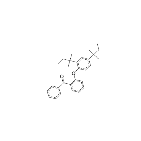 CCC(C)(C)c1ccc(Oc2ccccc2C(=O)c2ccccc2)c(C(C)(C)CC)c1